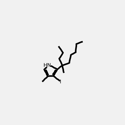 CCCCCC(C)(CCC)c1[nH]cc(C)c1I